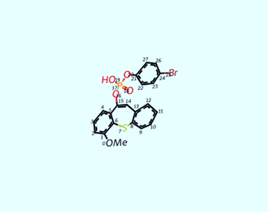 COc1cccc2c1Sc1ccccc1C=C2OP(=O)(O)Oc1ccc(Br)cc1